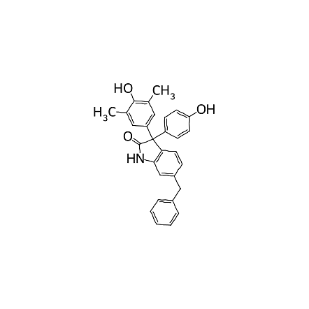 Cc1cc(C2(c3ccc(O)cc3)C(=O)Nc3cc(Cc4ccccc4)ccc32)cc(C)c1O